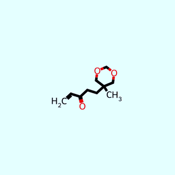 C=CC(=O)CCC1(C)COCOC1